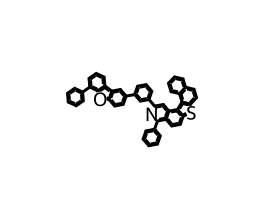 c1ccc(-c2nc(-c3cccc(-c4ccc5oc6c(-c7ccccc7)cccc6c5c4)c3)cc3c2ccc2sc4ccc5ccccc5c4c23)cc1